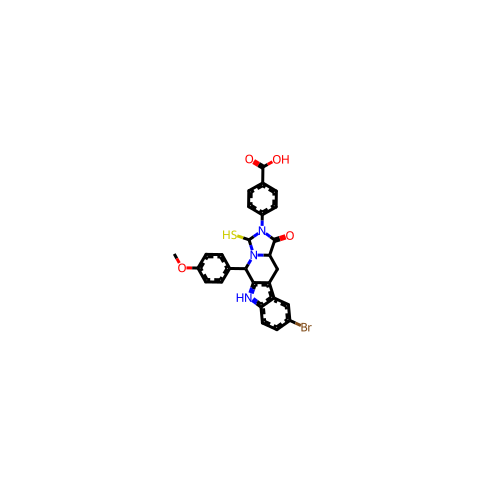 COc1ccc(C2c3[nH]c4ccc(Br)cc4c3CC3C(=O)N(c4ccc(C(=O)O)cc4)C(S)N32)cc1